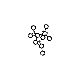 c1ccc(-c2ccc3c(c2)c2cccc(-c4cc(-c5nc(-c6ccccc6)nc(-c6ccccc6)n5)cc5c4c4ccccc4n5-c4ccccc4)c2n3-c2ccccc2)cc1